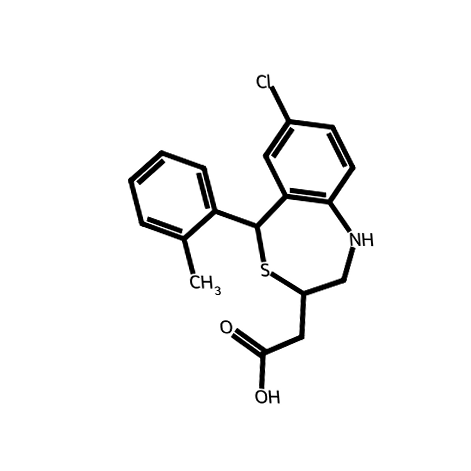 Cc1ccccc1C1SC(CC(=O)O)CNc2ccc(Cl)cc21